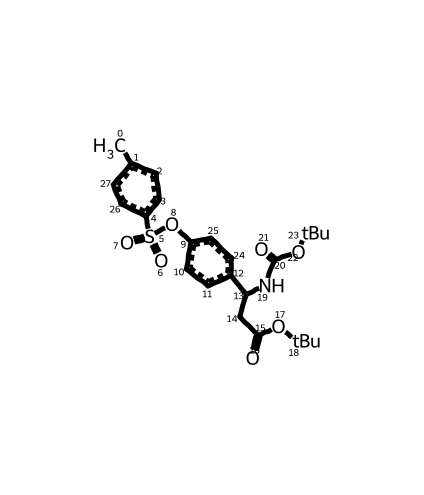 Cc1ccc(S(=O)(=O)Oc2ccc(C(CC(=O)OC(C)(C)C)NC(=O)OC(C)(C)C)cc2)cc1